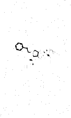 COC(=O)[C@H]1C[C@H](O[Si](C)(C)C(C)(C)C)CN1CC(=O)c1ccccc1